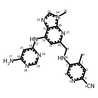 Cc1cc(C#N)ncc1NCc1cc(Nc2cc(N)ncn2)c2ncn(C)c2n1